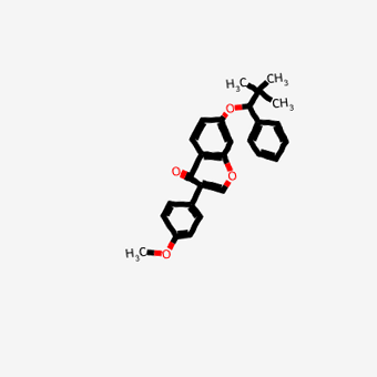 COc1ccc(-c2coc3cc(OC(c4ccccc4)C(C)(C)C)ccc3c2=O)cc1